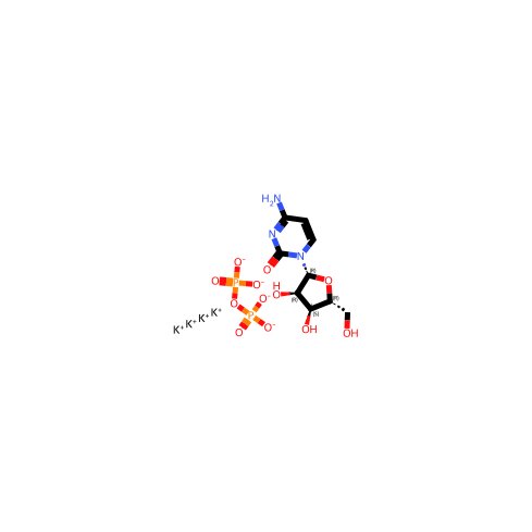 Nc1ccn([C@@H]2O[C@H](CO)[C@@H](O)[C@H]2O)c(=O)n1.O=P([O-])([O-])OP(=O)([O-])[O-].[K+].[K+].[K+].[K+]